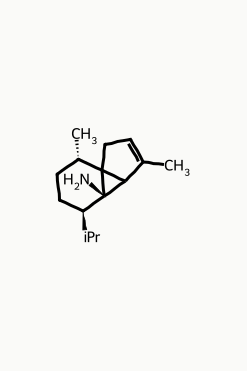 CC1=CCC23C1[C@]2(N)[C@@H](C(C)C)CC[C@@H]3C